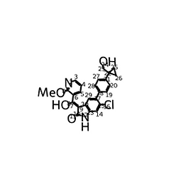 COc1ncccc1C(O)=C1C(=O)Nc2cc(Cl)c(-c3ccc(C4(CO)CC4)cc3)cc21